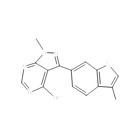 Cc1c[nH]c2cc(-c3nn(C)c4ncnc(N)c34)ccc12